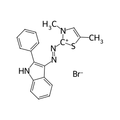 Cc1cn(C)[c+](N=Nc2c(-c3ccccc3)[nH]c3ccccc23)s1.[Br-]